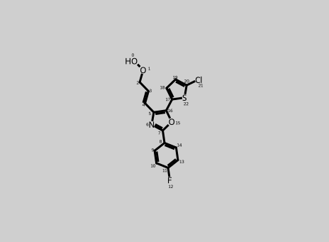 OOC/C=C/c1nc(-c2ccc(F)cc2)oc1-c1ccc(Cl)s1